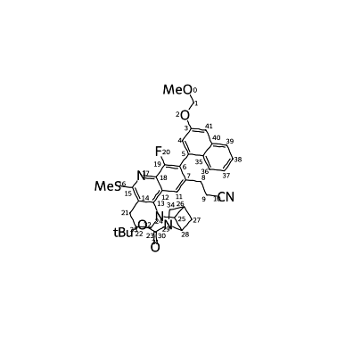 COCOc1cc(-c2c(CCC#N)cc3c4c(c(SC)nc3c2F)CCCN4C2C3CC2N(C(=O)OC(C)(C)C)C3)c2ccccc2c1